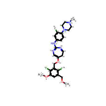 COCc1cc(OC)c(F)c(COC2=CN=C(Nc3ccc(N4CCN(C)CC4)c(F)c3)N=CC2)c1F